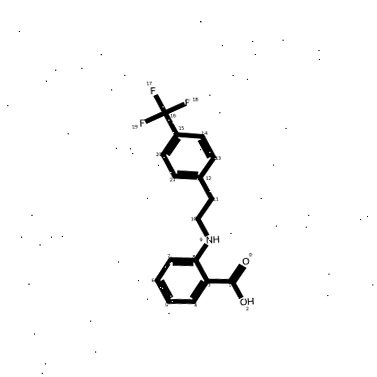 O=C(O)c1ccccc1NCCc1ccc(C(F)(F)F)cc1